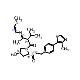 C=N/C=C\N=C(/C)[C@H](C(=O)N1C[C@H](O)C[C@H]1C(=O)NCc1ccc(-c2scnc2C)cc1)C(C)C